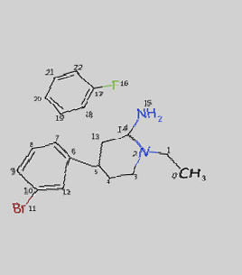 CCN1CCC(c2cccc(Br)c2)CC1N.Fc1ccccc1